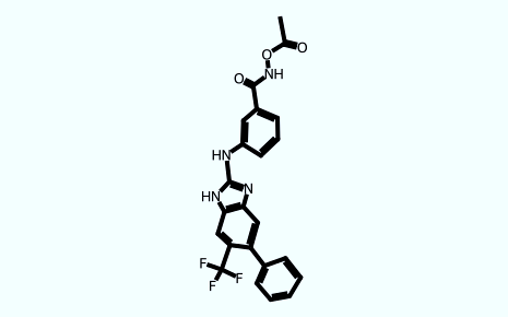 CC(=O)ONC(=O)c1cccc(Nc2nc3cc(-c4ccccc4)c(C(F)(F)F)cc3[nH]2)c1